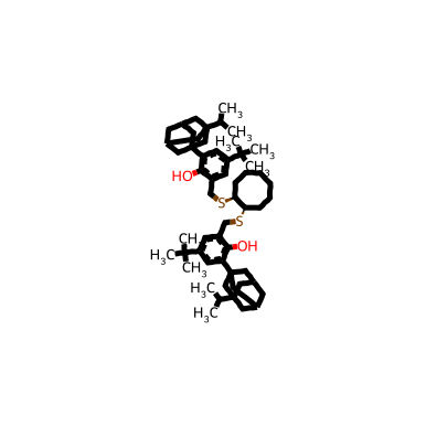 CC(C)C12CC3CC(CC(c4cc(C(C)(C)C)cc(CS[C@H]5CCCCCC[C@@H]5SCc5cc(C(C)(C)C)cc(C67CC8CC(C6)CC(C(C)C)(C8)C7)c5O)c4O)(C3)C1)C2